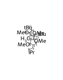 COCC(CCC(C)C)C(OC)C(C)CC(CC(CC(C)(C)C)OC)(CC(C)(C)C)OC